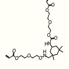 C=CC(=O)OCCOCCONCC1(C)CC(NC(=O)OCCOCCOC(=O)C=C)CC(C)(C)C1